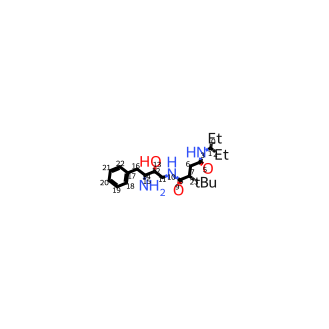 CCC(CC)NC(=O)CC(C(=O)NCC(O)C(N)Cc1ccccc1)C(C)(C)C